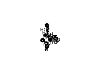 C=C(NS(C)(=O)=O)[C@@]1(NC(=O)[C@@H]2CC(Oc3cc(-c4ccccc4)nc4cc(OC)ccc34)CN2C(=O)N[C@H](C(=O)NC[C@H](O)Cc2ccccc2)C(C)(C)C)C[C@@H]1CI